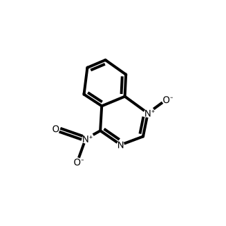 O=[N+]([O-])c1nc[n+]([O-])c2ccccc12